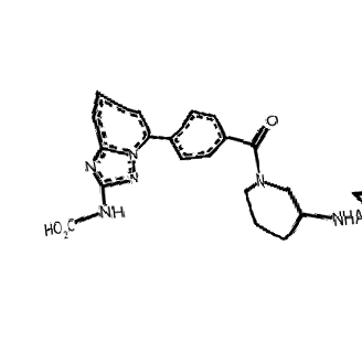 C1CC1.CC(=O)NC1CCCN(C(=O)c2ccc(-c3cccc4nc(NC(=O)O)nn34)cc2)C1